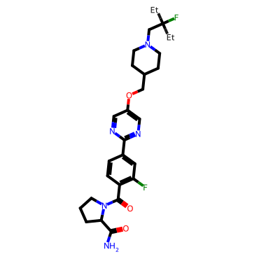 CCC(F)(CC)CN1CCC(COc2cnc(-c3ccc(C(=O)N4CCCC4C(N)=O)c(F)c3)nc2)CC1